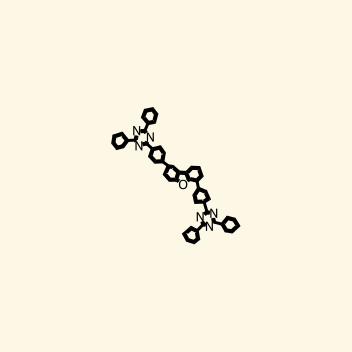 c1ccc(-c2nc(-c3ccccc3)nc(-c3ccc(-c4ccc5oc6c(-c7ccc(-c8nc(-c9ccccc9)nc(-c9ccccc9)n8)cc7)cccc6c5c4)cc3)n2)cc1